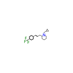 FC(F)(F)c1ccc(C=CCC2CCCCN2CC2CC2)cc1